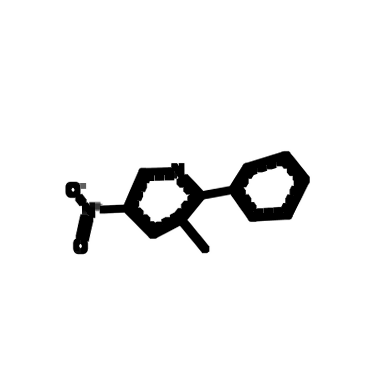 Cc1cc([N+](=O)[O-])cnc1-c1ccccc1